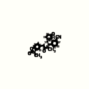 CN(C(=O)Cc1ccc2oc(=O)n(C)c2c1)[C@H](CN1CCC(O)C1)c1cccc(C#N)c1